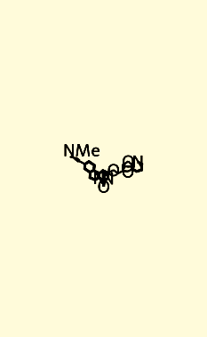 CNCC#Cc1ccc2c(ccn3c(=O)nc(OCC4COc5ncccc5O4)cc23)c1